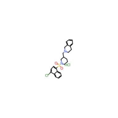 Cl.O=S(=O)(c1ccc(Cl)c2ccccc12)N1CCCC(CN2CCc3ccccc3C2)C1